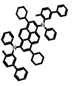 Cc1ccc(-c2ccccc2)cc1N(c1ccccc1)c1cc(C2CCCCC2)c2ccc3c(N(c4ccccc4)c4cc(-c5ccccc5)ccc4C)cc(C4CCCCC4)c4ccc1c2c43